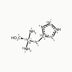 N[13C@@]([15NH2])([13CH2][13c]1[13cH][nH][13cH]n1)[13C](=O)O